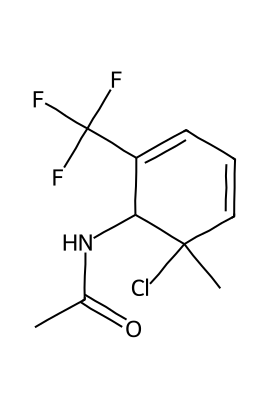 CC(=O)NC1C(C(F)(F)F)=CC=CC1(C)Cl